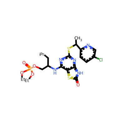 CCOP(=O)(OCC)OCC(CC(C)C)Nc1nc(SC(C)c2ccc(Cl)cn2)nc2[nH]c(=O)sc12